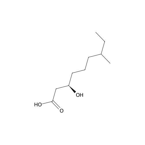 CCC(C)CCC[C@@H](O)CC(=O)O